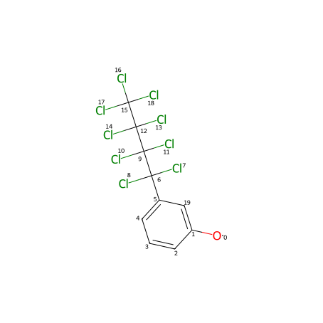 [O]c1cccc(C(Cl)(Cl)C(Cl)(Cl)C(Cl)(Cl)C(Cl)(Cl)Cl)c1